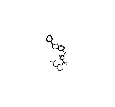 CN(C)CC1CN(C(=O)c2cnc(Oc3ccc4c(c3)CCC(c3ccccc3)O4)s2)CCO1